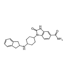 NC(=O)c1ccc2c(c1)[nH]c(=O)n2C1CCC(NC2Cc3ccccc3C2)CC1